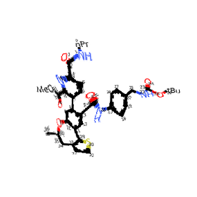 CCCNC(=O)c1ccc(-c2cc3c(cc2C(=O)Nc2ccc(CNC(=O)OC(C)(C)C)cc2)-c2sccc2C[C@@H](C)O3)c(C(=O)OC)n1